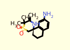 C=C1N[C@@]2(CCCc3ccc(N)cc32)CS(=O)(=O)C1(C)C